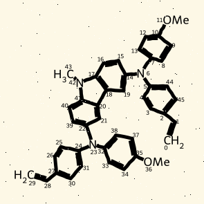 C=Cc1ccc(N(c2ccc(OC)cc2)c2ccc3c(c2)c2cc(N(c4ccc(C=C)cc4)c4ccc(OC)cc4)ccc2n3C)cc1